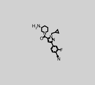 N#Cc1ccc(-c2cc(C(=O)N3CCC[C@@H](N)C3)n(CC3CC3)n2)cc1F